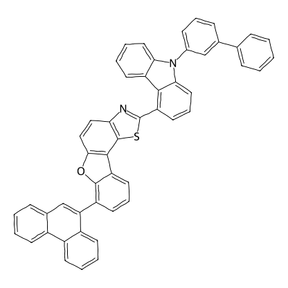 c1ccc(-c2cccc(-n3c4ccccc4c4c(-c5nc6ccc7oc8c(-c9cc%10ccccc%10c%10ccccc9%10)cccc8c7c6s5)cccc43)c2)cc1